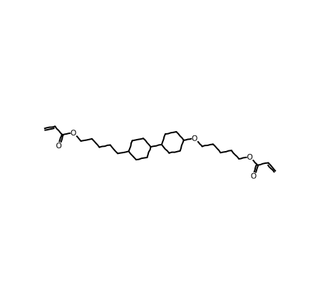 C=CC(=O)OCCCCCOC1CCC(C2CCC(CCCCCOC(=O)C=C)CC2)CC1